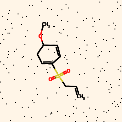 C=CCS(=O)(=O)C1=CCC(OC)C=C1